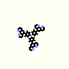 Cc1c(C)c(N(c2c(C)c(C)c(-c3cc4cccnc4c4ncccc34)c(C)c2C)c2c(C)c(C)c(-c3cc4cccnc4c4ncccc34)c(C)c2C)c(C)c(C)c1-c1cc2cccnc2c2ncccc12